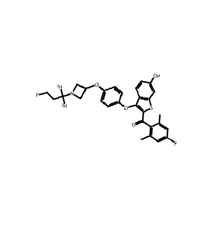 [2H]C([2H])(CCF)N1CC(Oc2ccc(Oc3c(C(=O)c4c(C)cc(F)cc4C)sc4cc(O)ccc34)cc2)C1